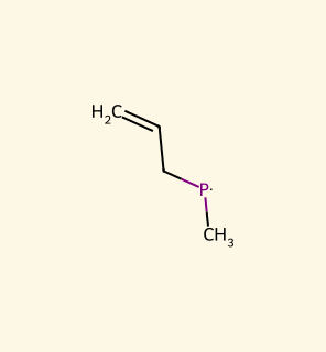 C=CC[P]C